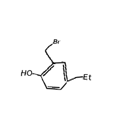 CCc1ccc(O)c(CBr)c1